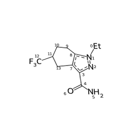 CCn1nc(C(N)=O)c2c1CCC(C(F)(F)F)C2